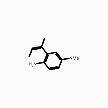 C/C=C(/C)c1cc(NC)ccc1N